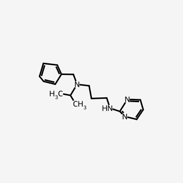 CC(C)N(CCCNc1ncccn1)Cc1ccccc1